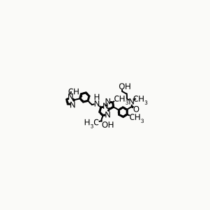 Cc1ccc(-c2c(C)nn3c(NCc4cccc(-c5nccn5C)c4)cc(C(C)O)nc23)cc1C(=O)N(C)CCCO